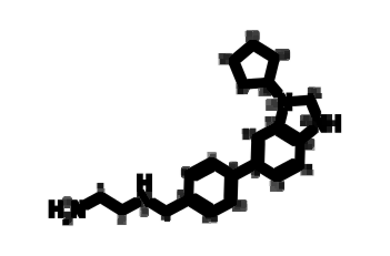 NCCNCc1ccc(-c2ccc3c(c2)N(C2CCCC2)CN3)cc1